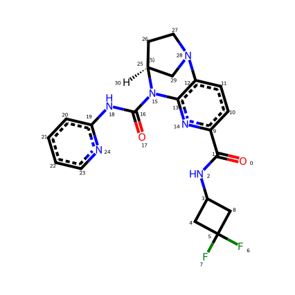 O=C(NC1CC(F)(F)C1)c1ccc2c(n1)N(C(=O)Nc1ccccn1)[C@H]1CCN2C1